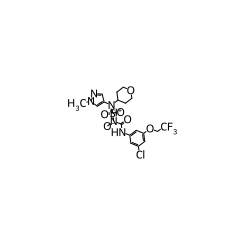 Cn1cc(N(C2CCOCC2)S(=O)(=O)[NH+]([O-])C(=O)Nc2cc(Cl)cc(OCC(F)(F)F)c2)cn1